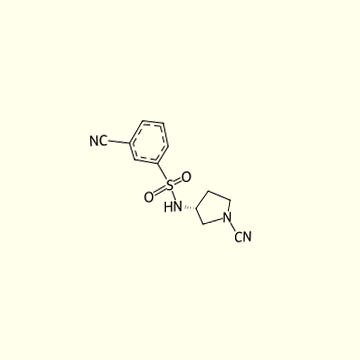 N#Cc1cccc(S(=O)(=O)N[C@@H]2CCN(C#N)C2)c1